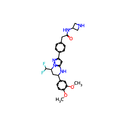 COc1ccc(C2CC(C(F)F)n3nc(-c4ccc(CC(=O)NC5CNC5)cc4)cc3N2)cc1OC